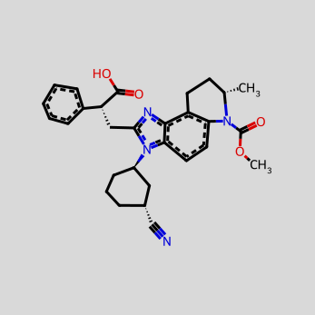 COC(=O)N1c2ccc3c(nc(C[C@@H](C(=O)O)c4ccccc4)n3[C@@H]3CCC[C@@H](C#N)C3)c2CC[C@@H]1C